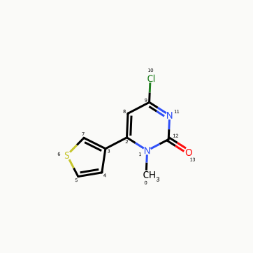 Cn1c(-c2ccsc2)cc(Cl)nc1=O